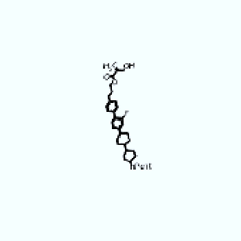 C=C(CO)C(=O)OCCCc1ccc(-c2ccc(C3CCC(C4CCC(CCCCC)CC4)CC3)cc2F)cc1